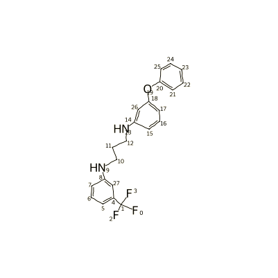 FC(F)(F)c1cccc(NCCCNc2cccc(Oc3ccccc3)c2)c1